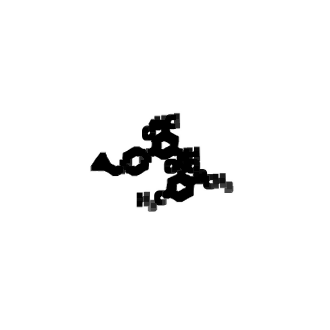 COc1ccc(C)cc1S(=O)(=O)Nc1cc(N2CCN(CC3CC3)CC2)c2occc2c1.Cl